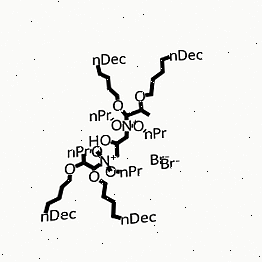 CCCCCCCCCCCCCCOC(C)C(OCCCCCCCCCCCCCC)[N+](CC(O)C[N+](OCCC)(OCCC)C(OCCCCCCCCCCCCCC)C(C)OCCCCCCCCCCCCCC)(OCCC)OCCC.[Br-].[Br-]